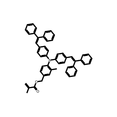 C=C(C)C(=O)OCc1ccc(N(c2ccc(C=C(c3ccccc3)c3ccccc3)cc2)c2ccc(C=C(c3ccccc3)c3ccccc3)cc2)c(C)c1